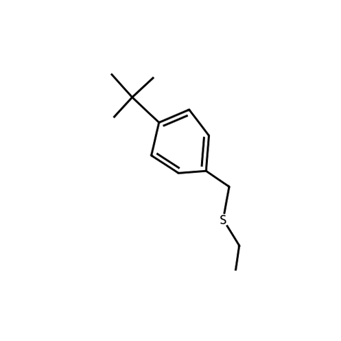 CCSCc1ccc(C(C)(C)C)cc1